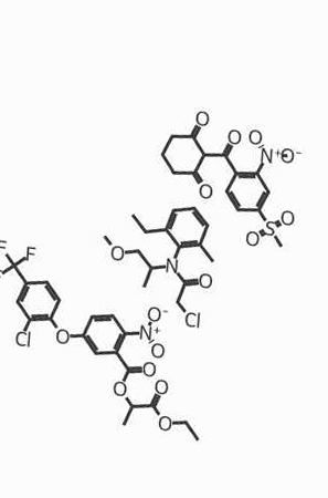 CCOC(=O)C(C)OC(=O)c1cc(Oc2ccc(C(F)(F)F)cc2Cl)ccc1[N+](=O)[O-].CCc1cccc(C)c1N(C(=O)CCl)C(C)COC.CS(=O)(=O)c1ccc(C(=O)C2C(=O)CCCC2=O)c([N+](=O)[O-])c1